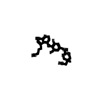 CC1(CO)CN=C(Nc2cc(F)c(Oc3ccnc4[nH]cc(CCCC#N)c34)c(F)c2)OC1